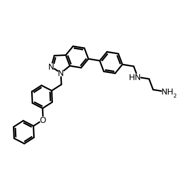 NCCNCc1ccc(-c2ccc3cnn(Cc4cccc(Oc5ccccc5)c4)c3c2)cc1